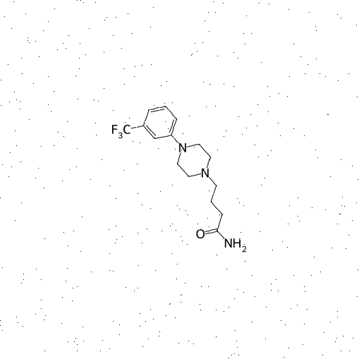 NC(=O)CCCN1CCN(c2cccc(C(F)(F)F)c2)CC1